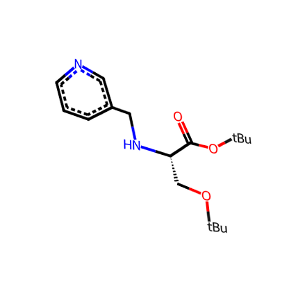 CC(C)(C)OC[C@H](NCc1cccnc1)C(=O)OC(C)(C)C